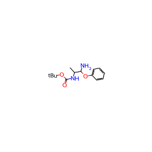 CC(NC(=O)OC(C)(C)C)C(N)Oc1ccccc1